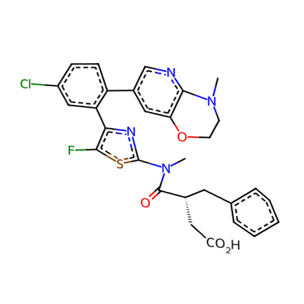 CN1CCOc2cc(-c3ccc(Cl)cc3-c3nc(N(C)C(=O)[C@@H](CC(=O)O)Cc4ccccc4)sc3F)cnc21